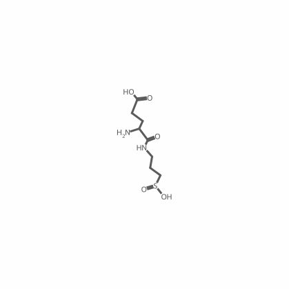 NC(CCC(=O)O)C(=O)NCCCS(=O)O